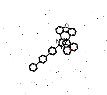 c1ccc(-c2ccc(-c3ccc(-c4nc(-c5ccccc5)nc(-c5cccc6oc7cccc(-c8ccc9ccccc9c8)c7c56)n4)cc3)cc2)cc1